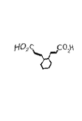 O=C(O)C=CC1CCCCC1C=CC(=O)O